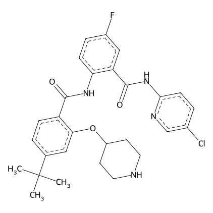 CC(C)(C)c1ccc(C(=O)Nc2ccc(F)cc2C(=O)Nc2ccc(Cl)cn2)c(OC2CCNCC2)c1